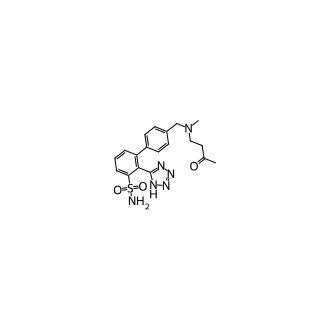 CC(=O)CCN(C)Cc1ccc(-c2cccc(S(N)(=O)=O)c2-c2nnn[nH]2)cc1